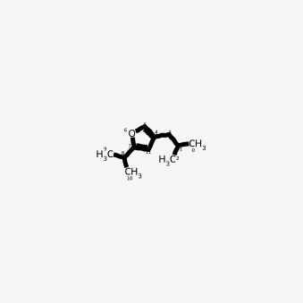 CC(C)Cc1coc(C(C)C)c1